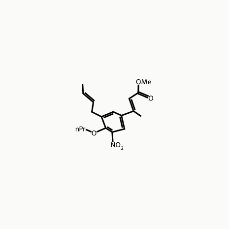 CC=CCc1cc(C(C)=CC(=O)OC)cc([N+](=O)[O-])c1OCCC